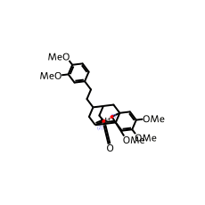 COC1=CC2=C3CC4CC2(C=C1OC)/C=C(/OC)[N+](=O)/C=C\3CC4CCc1ccc(OC)c(OC)c1